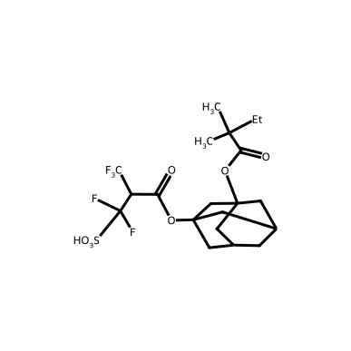 CCC(C)(C)C(=O)OC12CC3CC(CC(OC(=O)C(C(F)(F)F)C(F)(F)S(=O)(=O)O)(C3)C1)C2